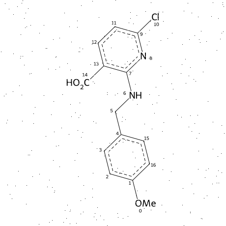 COc1ccc(CNc2nc(Cl)ccc2C(=O)O)cc1